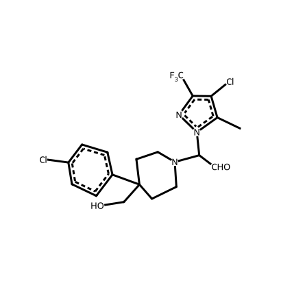 Cc1c(Cl)c(C(F)(F)F)nn1C(C=O)N1CCC(CO)(c2ccc(Cl)cc2)CC1